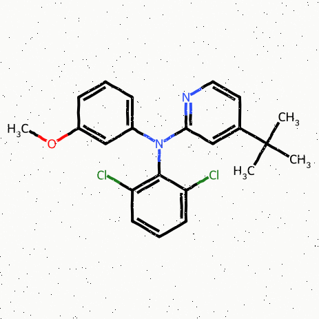 COc1cccc(N(c2cc(C(C)(C)C)ccn2)c2c(Cl)cccc2Cl)c1